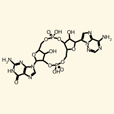 Nc1nc2c(ncn2C2OC3COP(=O)(O)OC4C(COP(=O)(O)OC2C3O)OC(c2cnc3c(N)ncnn23)C4O)c(=O)[nH]1